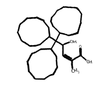 CC(=CC(O)C(C1CCCCCCCCC1)(C1CCCCCCCCC1)C1CCCCCCCCC1)C(=O)O